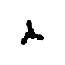 O=C(OC1CC(OC(=O)c2ccc(-c3ccc4ccccc4n3)cc2)CC(OC(=O)c2ccc(-c3ccc4ccccc4n3)cc2)C1)c1ccc(-c2ccc3ccccc3n2)cc1